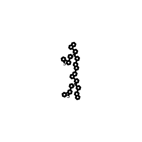 c1cc(-c2ccc3ccccc3c2)cc(N(c2cccc(-c3ccc4sc5ccccc5c4c3)c2)c2cccc(-c3cccc4cc(-c5ccc6cc(-c7cccc(N(c8cccc(-c9cccc%10ccccc9%10)c8)c8cccc(-c9cccc%10sc%11ccccc%11c9%10)c8)c7)ccc6c5)ccc34)c2)c1